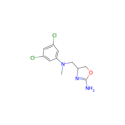 CN(CC1COC(N)=N1)c1cc(Cl)cc(Cl)c1